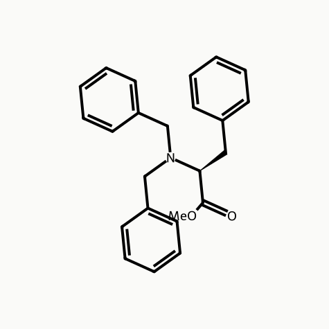 COC(=O)[C@H](Cc1ccccc1)N(Cc1ccccc1)Cc1ccccc1